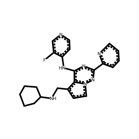 Fc1cnccc1Nc1nc(-c2ccccn2)nn2ccc(CNC3CCCCC3)c12